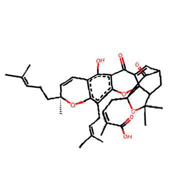 CC(C)=CCC[C@@]1(C)C=Cc2c(O)c3c(c(CC=C(C)C)c2O1)OC12C(=CC4CC1C(C)(C)OC2(C/C=C(/C)C(=O)O)C4=O)C3=O